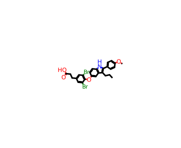 CCCc1c(-c2ccc(OC)cc2)[nH]c2ccc(Oc3c(Br)cc(CCC(=O)O)cc3Br)cc12